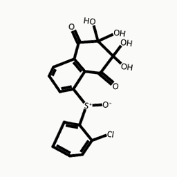 O=C1c2cccc([S+]([O-])c3ccccc3Cl)c2C(=O)C(O)(O)C1(O)O